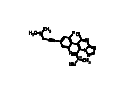 C[C@@H](Nc1c(-c2c(F)cc(C#CCN(C)C)cc2F)c(Cl)nc2ncnn12)C(C)(C)C